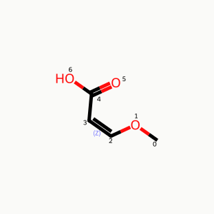 CO/C=C\C(=O)O